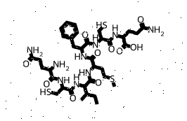 CCC(C)C(NC(=O)C(CS)NC(=O)C(N)CCC(N)=O)C(=O)NC(CCSC)C(=O)NC(Cc1ccccc1)C(=O)NC(CS)C(=O)NC(CCC(N)=O)C(=O)O